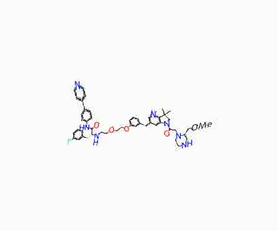 COC[C@H]1CN[C@H](C)CN1CC(=O)N1CC(C)(C)c2ncc(Cc3cccc(OCCOCCN[C@H](Cc4cccc(F)c4)C(=O)Nc4ccc(-c5ccncc5)cc4)c3)cc21